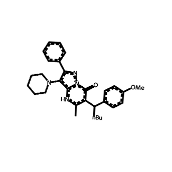 CCCCC(c1ccc(OC)cc1)c1c(C)[nH]c2c(N3CCCCC3)c(-c3ccccc3)nn2c1=O